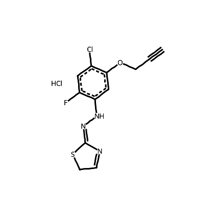 C#CCOc1cc(NN=C2N=CCS2)c(F)cc1Cl.Cl